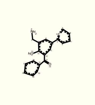 NCc1cc(-c2ccccc2)cc(C(=O)c2ccccc2)c1O